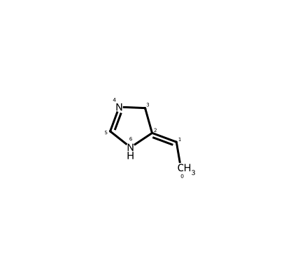 CC=C1CN=CN1